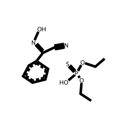 CCOP(O)(=S)OCC.N#CC(=NO)c1ccccc1